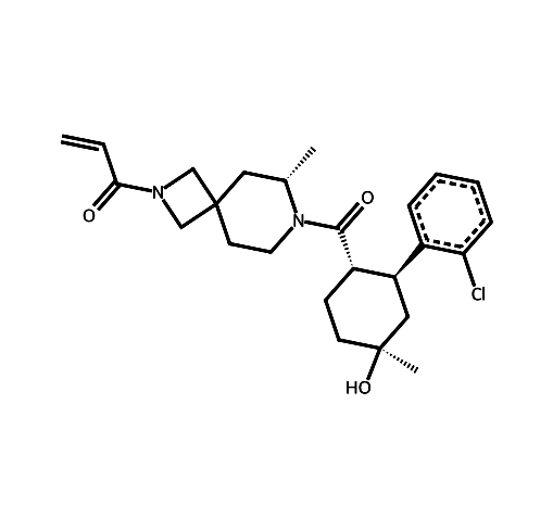 C=CC(=O)N1CC2(CCN(C(=O)[C@H]3CC[C@](C)(O)C[C@@H]3c3ccccc3Cl)[C@@H](C)C2)C1